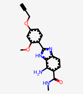 C#CCOc1ccc(-c2nc3ccc(C(=O)NC)c(N)c3[nH]2)c(OC)c1